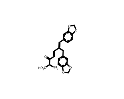 NC(C(=O)O)C(=O)/C=C/C(=C/c1ccc2c(c1)OCO2)Cc1ccc2c(c1)OCO2